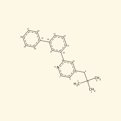 CC(C)(C)Cc1ccnc(-c2cccc(-c3ccccc3)c2)c1